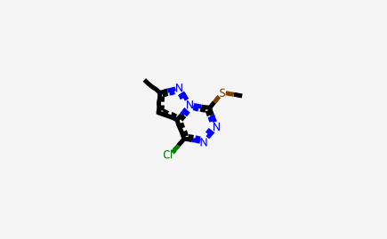 CSc1nnc(Cl)c2cc(C)nn12